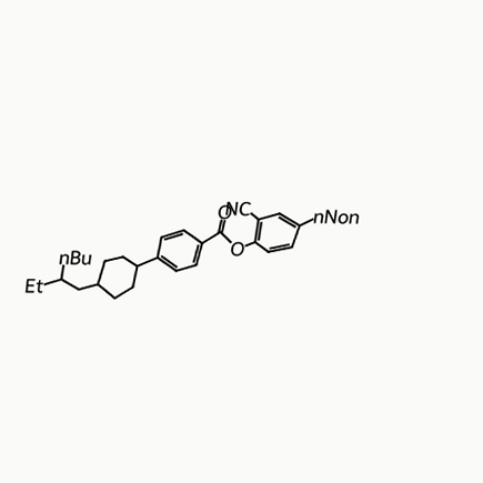 CCCCCCCCCc1ccc(OC(=O)c2ccc(C3CCC(CC(CC)CCCC)CC3)cc2)c(C#N)c1